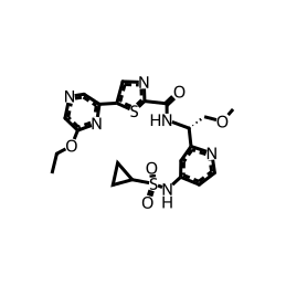 CCOc1cncc(-c2cnc(C(=O)N[C@H](COC)c3cc(NS(=O)(=O)C4CC4)ccn3)s2)n1